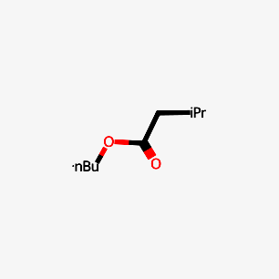 CCC[CH]OC(=O)CC(C)C